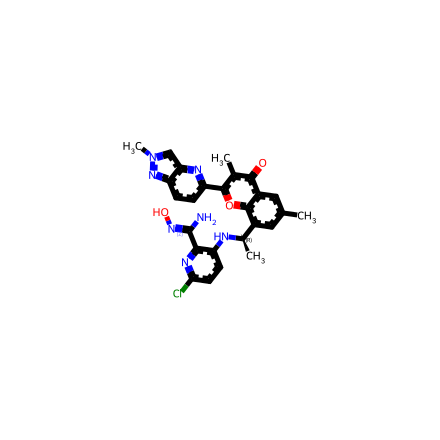 Cc1cc([C@@H](C)Nc2ccc(Cl)nc2/C(N)=N/O)c2oc(-c3ccc4nn(C)cc4n3)c(C)c(=O)c2c1